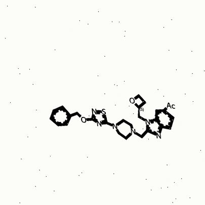 CC(=O)c1ccc2nc(CN3CCN(c4nc(OCc5ccccc5)ns4)CC3)n(C[C@@H]3CCO3)c2c1